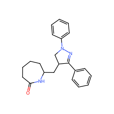 O=C1CCCCC(CC2CN(c3ccccc3)N=C2c2ccccc2)N1